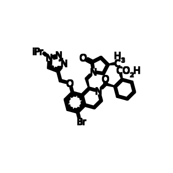 CC(C)n1cc(COc2ccc(Br)c3c2[C@@H](CN2C[C@H](C)CC2=O)N(C(=O)[C@@H]2CCCC[C@@H]2C(=O)O)CC3)nn1